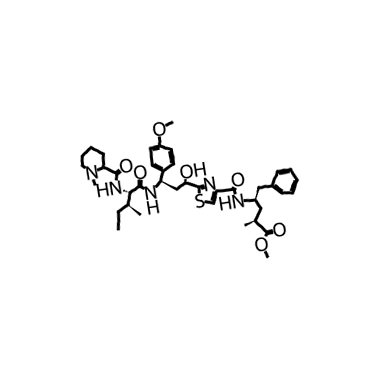 CC[C@H](C)[C@H](NC(=O)C1CCCCN1C)C(=O)N[C@H](C[C@@H](O)c1nc(C(=O)N[C@@H](Cc2ccccc2)C[C@H](C)C(=O)OC)cs1)c1ccc(OC)cc1